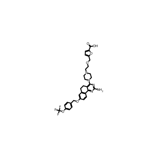 Nc1nc2c(c(N3CCN(CCOCc4ccc(C(=O)O)o4)CC3)n1)CCc1cc(OCc3ccc(OC(F)(F)F)cc3)ccc1-2